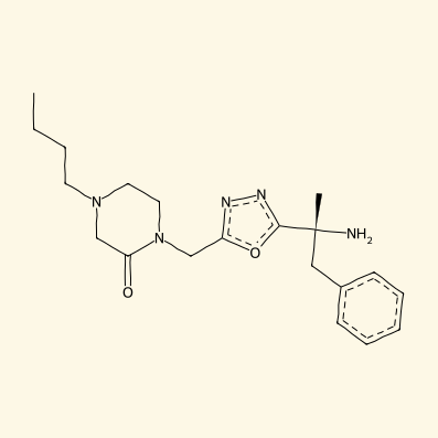 CCCCN1CCN(Cc2nnc([C@](C)(N)Cc3ccccc3)o2)C(=O)C1